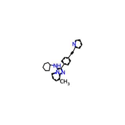 Cc1cccn2c(NC3CCCCC3)c(-c3ccc(C#Cc4ccccn4)cc3)nc12